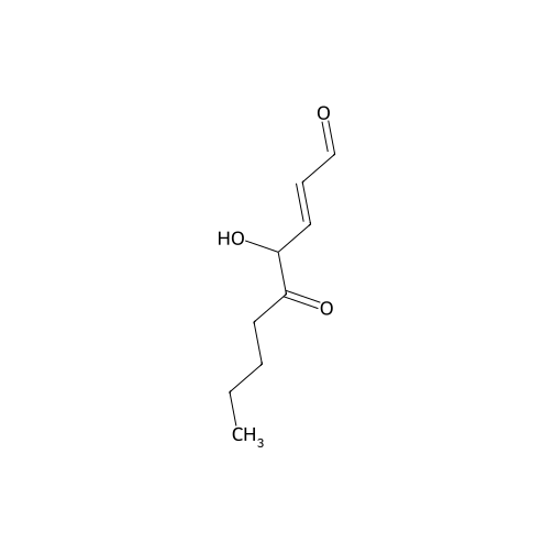 CCCCC(=O)C(O)C=CC=O